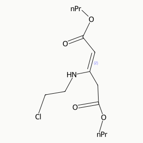 CCCOC(=O)/C=C(/CC(=O)OCCC)NCCCl